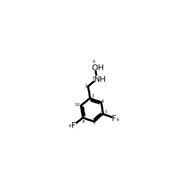 ONCc1cc(F)cc(F)c1